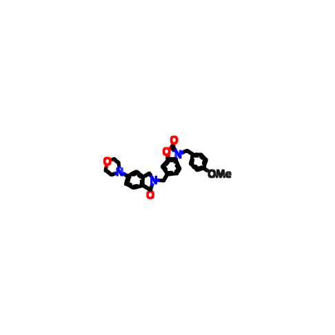 COc1ccc(Cn2c(=O)oc3cc(CN4Cc5cc(N6CCOCC6)ccc5C4=O)ccc32)cc1